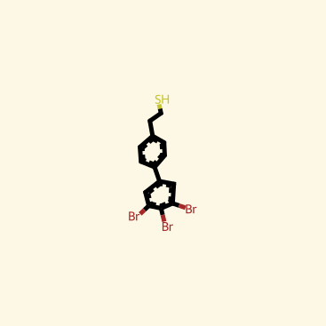 SCCc1ccc(-c2cc(Br)c(Br)c(Br)c2)cc1